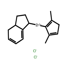 CC1=CCC(C)=[C]1[Zr+2][CH]1CCC2CC=CC=C21.[Cl-].[Cl-]